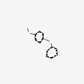 O=NOc1ccc(Sc2ccccc2)cc1